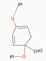 CC(C)OC1=CCC(C=O)(OC(C)C)C=C1